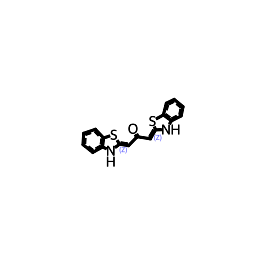 O=C(/C=C1/Nc2ccccc2S1)/C=C1/Nc2ccccc2S1